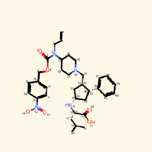 C=CCN(C(=O)OCc1ccc([N+](=O)[O-])cc1)C1CCN(C[C@@H]2C[C@@H](N[C@@H](CC(C)C)C(=O)O)C[C@H]2c2ccccc2)CC1